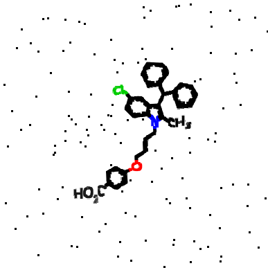 Cc1c(C(c2ccccc2)c2ccccc2)c2cc(Cl)ccc2n1CC=CCOc1ccc(C(=O)O)cc1